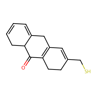 O=C1C2=C(C=C(CS)CC2)CC2=CC=CCC12